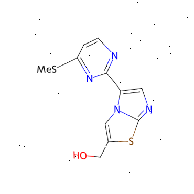 CSc1ccnc(-c2cnc3sc(CO)cn23)n1